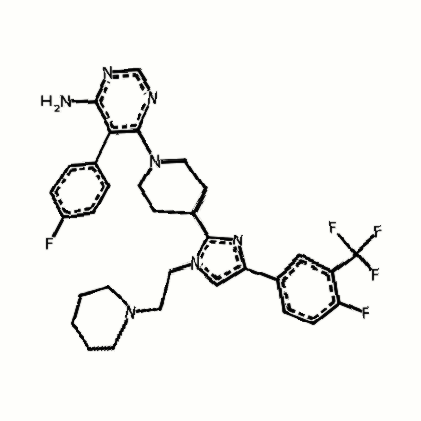 Nc1ncnc(N2CCC(c3nc(-c4ccc(F)c(C(F)(F)F)c4)cn3CCN3CCCCC3)CC2)c1-c1ccc(F)cc1